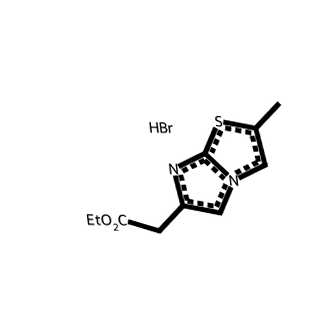 Br.CCOC(=O)Cc1cn2cc(C)sc2n1